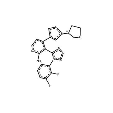 Nc1nccc(-c2cnn([C@H]3CCOC3)c2)c1-c1nnnn1-c1cccc(F)c1F